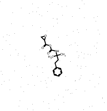 CC(C)(CCc1ccccc1)NC(=O)OC(=O)C1CO1